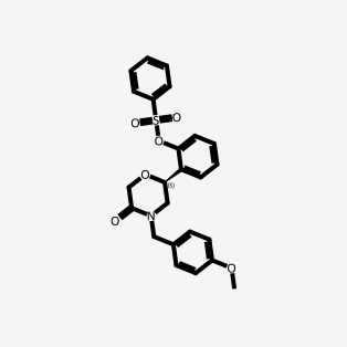 COc1ccc(CN2C[C@H](c3ccccc3OS(=O)(=O)c3ccccc3)OCC2=O)cc1